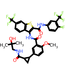 COc1ccc(C2CC2C(=O)NCC(C)(C)O)cc1C(=O)Nc1c(C(=O)Nc2ccc(F)c(C(F)(F)F)c2)sc2cc(C(F)(F)F)ccc12